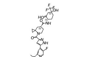 COc1cc(-c2cc(C(=O)N3CC[C@H](C(=O)N[C@H]4CC[C@@](O)(C(F)(F)F)C[C@@H]4O)CC34CC4)n[nH]2)c(F)cn1